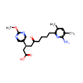 COc1ncc(C(CC(=O)O)CC(=O)CCCCc2nc(N)c(C)cc2C)cn1